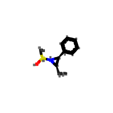 CCOC(=O)[C@H]1[C@@H](c2ccccc2)N1[S+]([O-])C(C)(C)C